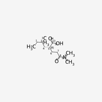 CCC(C)C[C@@H](CCC(=O)N(C)C)C(=O)O